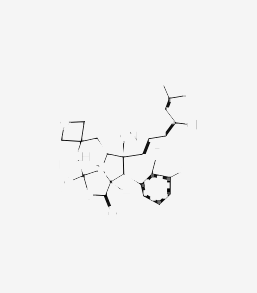 C\C(F)=C/C(Cl)=C\C=C\[C@@]1(C#N)[C@H](CC2(C)COC2)N2[C@@H](C(=O)OC2(C)C)[C@@H]1c1cccc(Cl)c1F